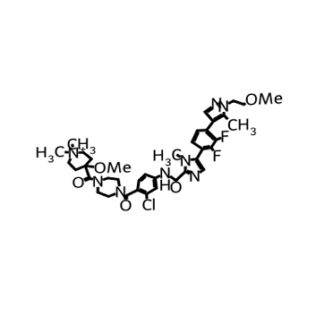 COCCn1ncc(-c2ccc(-c3cnc(C(=O)Nc4ccc(C(=O)N5CCN(C(=O)C6(OC)CC[N+](C)(C)CC6)CC5)c(Cl)c4)n3C)c(F)c2F)c1C